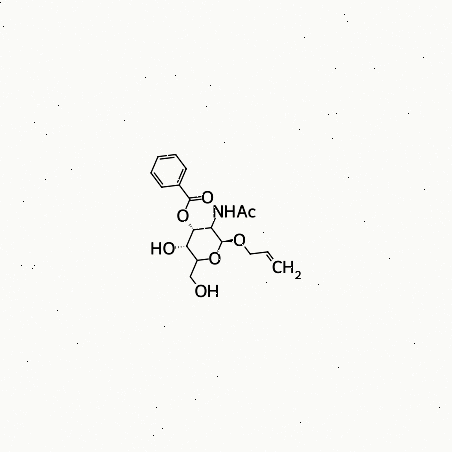 C=CCO[C@H]1OC(CO)[C@H](O)[C@H](OC(=O)c2ccccc2)C1NC(C)=O